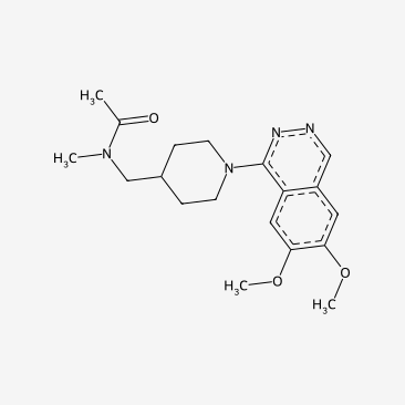 COc1cc2cnnc(N3CCC(CN(C)C(C)=O)CC3)c2cc1OC